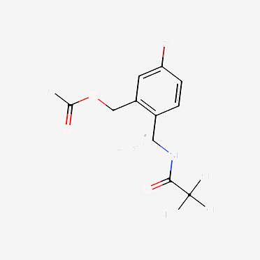 CC(=O)OCc1cc(Br)ccc1[C@@H](C)NC(=O)C(C)(C)C